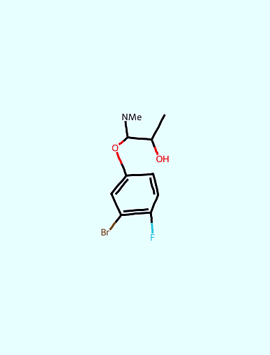 CNC(Oc1ccc(F)c(Br)c1)C(C)O